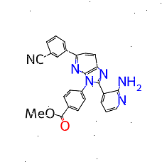 COC(=O)c1ccc(-n2c(-c3cccnc3N)nc3ccc(-c4cccc(C#N)c4)nc32)cc1